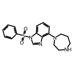 O=S(=O)(c1ccccc1)n1cnc2c(N3CCCNCC3)cccc21